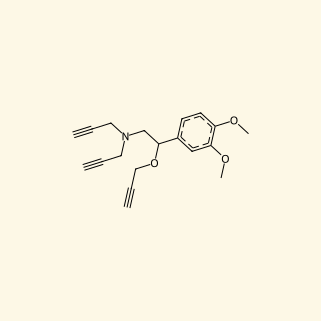 C#CCOC(CN(CC#C)CC#C)c1ccc(OC)c(OC)c1